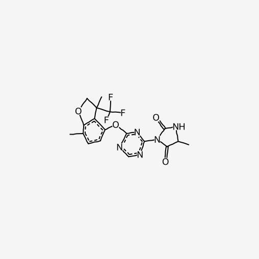 Cc1ccc(Oc2ncnc(N3C(=O)NC(C)C3=O)n2)c2c1OCC2(C)C(F)(F)F